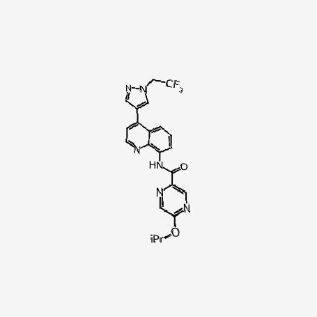 CC(C)Oc1cnc(C(=O)Nc2cccc3c(-c4cnn(CC(F)(F)F)c4)ccnc23)cn1